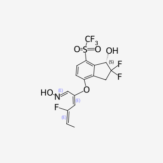 C\C=C(F)/C=C(\C=N\O)Oc1ccc(S(=O)(=O)C(F)(F)F)c2c1CC(F)(F)[C@H]2O